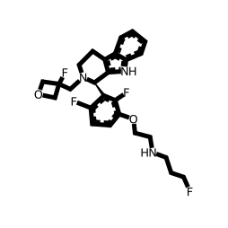 FCCCNCCOc1ccc(F)c([C@@H]2c3[nH]c4ccccc4c3CCN2CC2(F)COC2)c1F